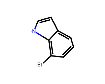 CCc1cccc2c1[N]C=C2